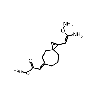 CC(C)(C)OC(=O)/C=C1/CCCC2(C=C2/C=C(/N)ON)CC1